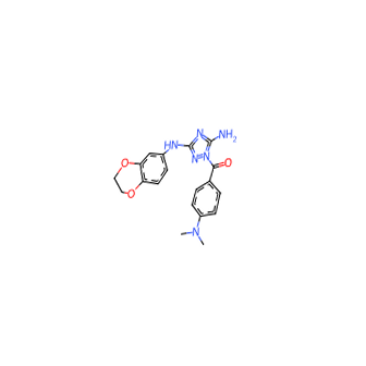 CN(C)c1ccc(C(=O)n2nc(Nc3ccc4c(c3)OCCO4)nc2N)cc1